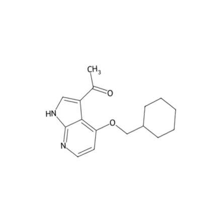 CC(=O)c1c[nH]c2nccc(OCC3CCCCC3)c12